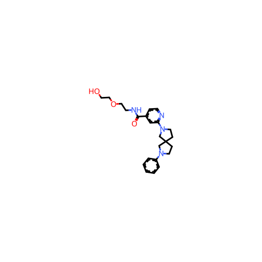 O=C(NCCOCCO)c1ccnc(N2CCC3(CCN(c4ccccc4)C3)C2)c1